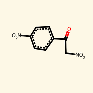 O=C(C[N+](=O)[O-])c1ccc([N+](=O)[O-])cc1